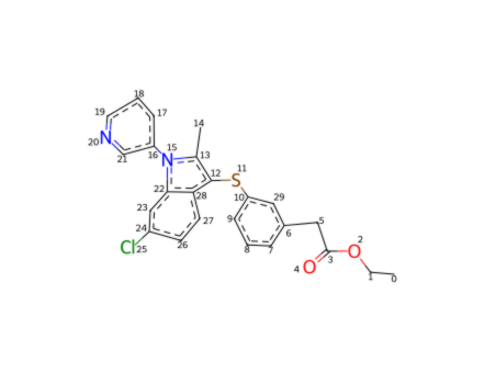 CCOC(=O)Cc1cccc(Sc2c(C)n(-c3cccnc3)c3cc(Cl)ccc23)c1